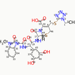 CCn1nnnc1SCC1=C(C(=O)O)N2C(=O)C(NC(=O)C(NC(=O)n3c(=O)n(C)c4ccccc43)c3cc(O)cc(O)c3)[C@H]2SC1